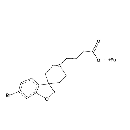 CC(C)(C)OC(=O)CCCN1CCC2(CC1)COc1cc(Br)ccc12